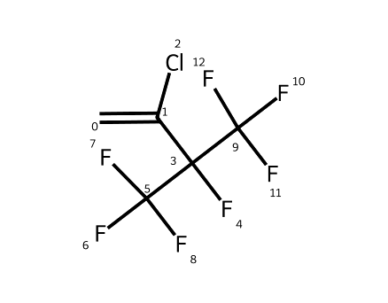 C=C(Cl)C(F)(C(F)(F)F)C(F)(F)F